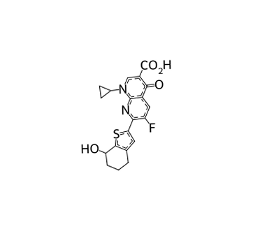 O=C(O)c1cn(C2CC2)c2nc(-c3cc4c(s3)C(O)CCC4)c(F)cc2c1=O